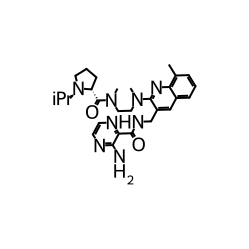 Cc1cccc2cc(CNC(=O)c3nccnc3N)c(N(C)CCN(C)C(=O)[C@H]3CCCN3C(C)C)nc12